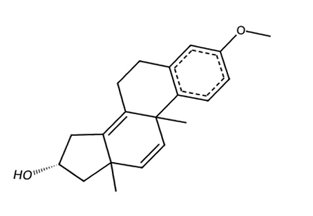 COc1ccc2c(c1)CCC1=C3C[C@@H](O)CC3(C)C=CC12C